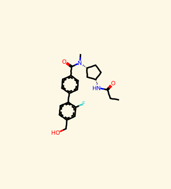 CCC(=O)N[C@H]1CC[C@@H](N(C)C(=O)c2ccc(-c3ccc(CO)cc3F)cc2)C1